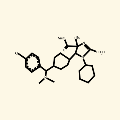 CCCCC1(C(=O)OC)N=C(C(=O)O)N(C2CCCCC2)C1C1CCC(C(c2ccc(Cl)cc2)N(C)C)CC1